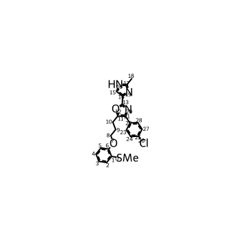 CSc1ccccc1OCCCc1oc(-c2c[nH]c(C)n2)nc1-c1ccc(Cl)cc1